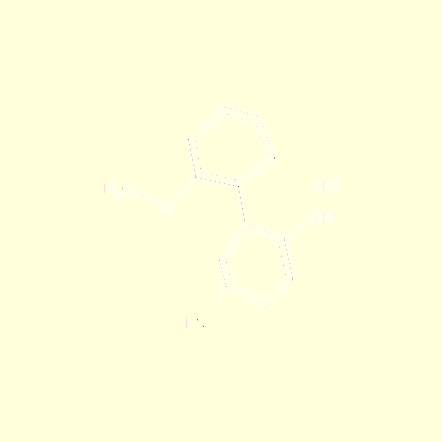 COc1ccccc1-c1cc(N)ccc1O.Cl